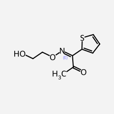 CC(=O)/C(=N\OCCO)c1cccs1